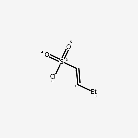 CCC=CS(=O)(=O)Cl